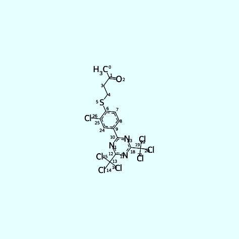 CC(=O)CCSc1ccc(-c2nc(C(Cl)(Cl)Cl)nc(C(Cl)(Cl)Cl)n2)cc1Cl